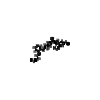 CNC1(COC=O)CN(C(=O)N2CC3(CC(Cc4ccccc4OCCN)C3)C2)C1